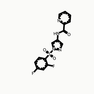 O=C(Nc1cnn(S(=O)(=O)c2ccc(F)cc2F)c1)c1ccccn1